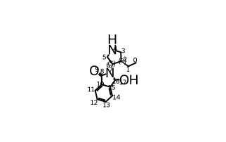 CC[C@@H]1CNC[C@H]1N1C(=O)c2ccccc2C1O